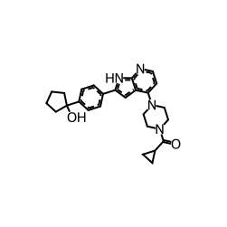 O=C(C1CC1)N1CCN(c2ccnc3[nH]c(-c4ccc(C5(O)CCCC5)cc4)cc23)CC1